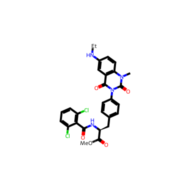 CCNc1ccc2c(c1)c(=O)n(-c1ccc(C[C@H](NC(=O)c3c(Cl)cccc3Cl)C(=O)OC)cc1)c(=O)n2C